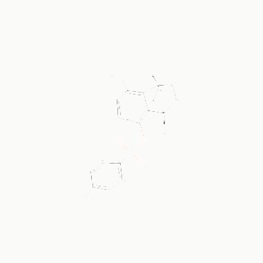 CC(=O)Oc1ccc(OS(=O)(=O)c2ccc(C)cc2)c2c1[C@@H]1CC[C@H]2C1